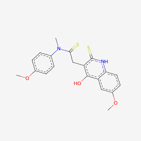 COc1ccc(N(C)C(=S)Cc2c(O)c3cc(OC)ccc3[nH]c2=S)cc1